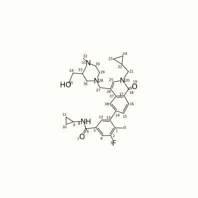 Cc1c(F)cc(C(=O)NC2CC2)cc1-c1ccc2c(=O)n(CC3CC3)cc(CN3CCN(C)C(CO)C3)c2c1